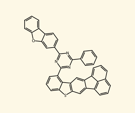 c1ccc(-c2nc(-c3ccc4c(c3)oc3ccccc34)nc(-c3cccc4sc5cc6c(cc5c34)-c3cccc4cccc-6c34)n2)cc1